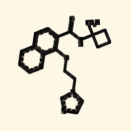 O=C(NC1(C(=O)O)CCC1)c1ccc2ccccc2c1OCCn1ccnc1